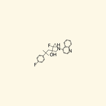 CC(C)(CC(O)(CNc1ccnc2ccccc12)C1(F)CC1)c1ccc(F)cc1